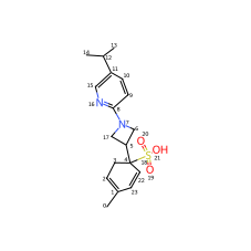 CC1=CCC(C2CN(c3ccc(C(C)C)cn3)C2)(S(=O)(=O)O)C=C1